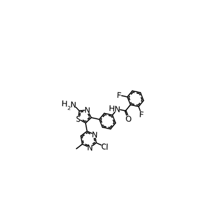 Cc1cc(-c2sc(N)nc2-c2cccc(NC(=O)c3c(F)cccc3F)c2)nc(Cl)n1